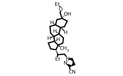 CCOC[C@@]1(O)CC[C@H]2[C@@H](CC[C@@H]3[C@@H]2CC[C@]2(C)[C@@H](C(CC)Cn4ccc(C#N)n4)CC[C@@H]32)C1